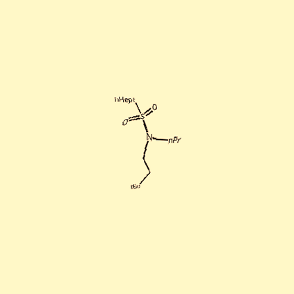 CCCCCCCS(=O)(=O)N(CCC)CCC(C)(C)C